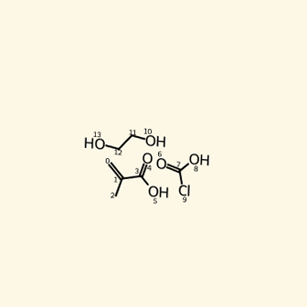 C=C(C)C(=O)O.O=C(O)Cl.OCCO